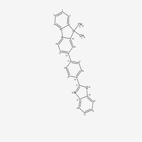 CC1(C)c2ccccc2-c2ccc(-c3ccc(-c4nc5ccccc5o4)cc3)cc21